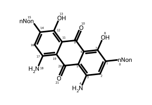 CCCCCCCCCc1cc(N)c2c(c1O)C(=O)c1c(O)c(CCCCCCCCC)cc(N)c1C2=O